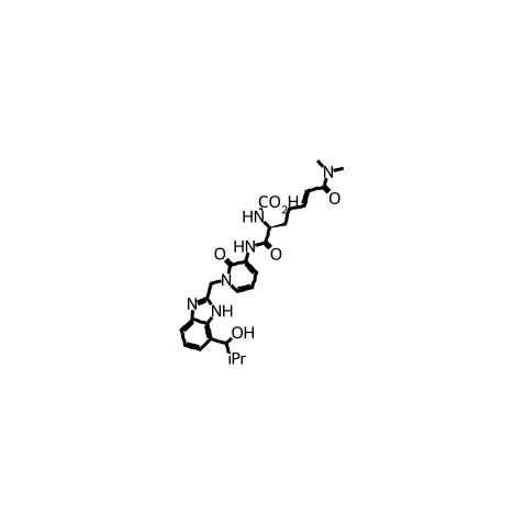 CC(C)C(O)c1cccc2nc(Cn3cccc(NC(=O)[C@H](CC/C=C/C(=O)N(C)C)NC(=O)O)c3=O)[nH]c12